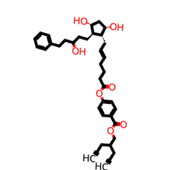 C#CCC(CC#C)COC(=O)c1ccc(OC(=O)CCCC=CC[C@@H]2[C@@H](CCC(O)CCc3ccccc3)[C@H](O)C[C@@H]2O)cc1